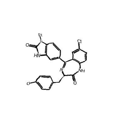 CCn1c(=O)[nH]c2cc(C3=N[C@H](Cc4ccc(Cl)cc4)C(=O)Nc4ccc(Cl)cc43)ccc21